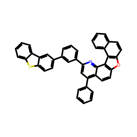 c1ccc(-c2cc(-c3cccc(-c4ccc5sc6ccccc6c5c4)c3)nc3c2ccc2oc4ccc5ccccc5c4c23)cc1